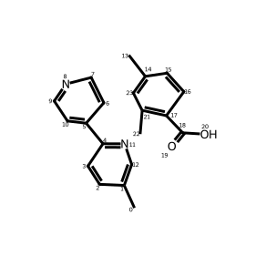 Cc1ccc(-c2ccncc2)nc1.Cc1ccc(C(=O)O)c(C)c1